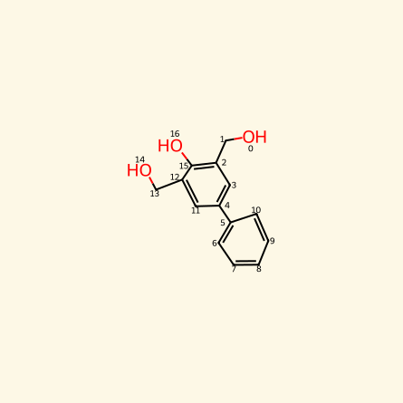 OCc1cc(-c2ccccc2)cc(CO)c1O